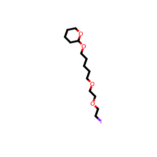 ICCOCCOCCCCCOC1CCCCO1